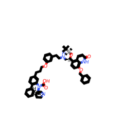 CC(C)(C)[Si](C)(C)O[C@H](CNCCc1cccc(OCCCc2ccc(-c3ccccc3)c(N(C(=O)O)[C@H]3CN4CCC3CC4)c2)c1)c1ccc(OCc2ccccc2)c2[nH]c(=O)ccc12